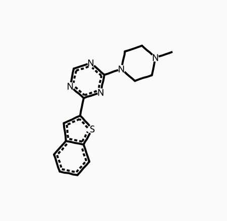 CN1CCN(c2ncnc(-c3cc4ccccc4s3)n2)CC1